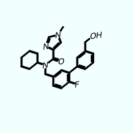 Cn1cnc(C(=O)N(Cc2ccc(F)c(-c3cccc(CO)c3)c2)C2CCCCC2)c1